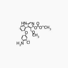 CCOC(=O)Oc1ncc2[nH]c3cccc(Oc4ccc(N)c(Cl)c4)c3c2c1COC